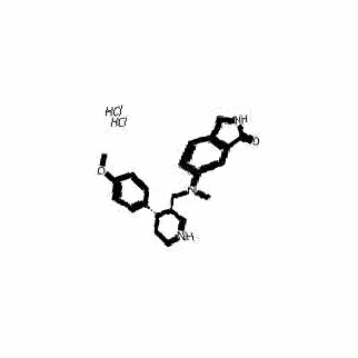 COc1ccc([C@H]2CCNC[C@@H]2CN(C)c2ccc3c(c2)C(=O)NC3)cc1.Cl.Cl